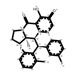 O=C1c2c(O)c(=O)cnn2[C@@H]([C@@H](c2cccc(F)c2)c2c(F)cccc2F)[C@H]2CCCN12